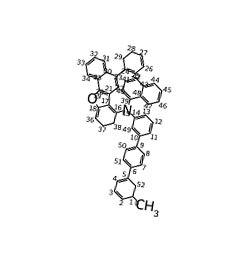 CC1C=CC=C(c2ccc(-c3cccc(N(C4=c5c(oc6c5cc(C5=CC=CCC5)c5ccccc56)=CCC4)c4cccc5ccccc45)c3)cc2)C1